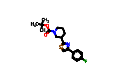 CC(C)(C)OC(=O)N1CCCC(c2nc(-c3ccc(F)cc3)cs2)C1